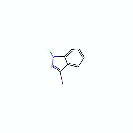 Fn1nc(I)c2ccccc21